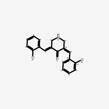 O=C1C(=Cc2ccccc2Cl)CNCC1=Cc1ccccc1Cl